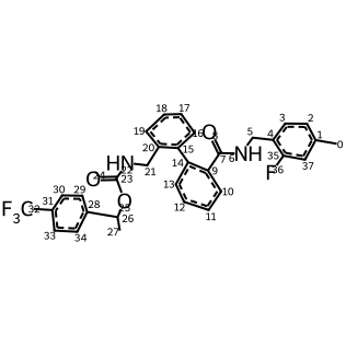 Cc1ccc(CNC(=O)c2ccccc2-c2ccccc2CNC(=O)OC(C)c2ccc(C(F)(F)F)cc2)c(F)c1